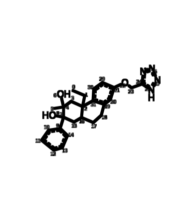 CCC12CC(C)(O)C(O)(c3ccccc3)CC1CCc1cc(OCc3nnn[nH]3)ccc12